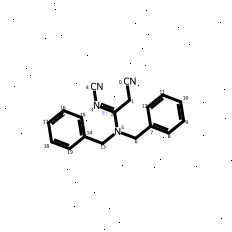 N#CC/C(=N\C#N)N(Cc1ccccc1)Cc1ccccc1